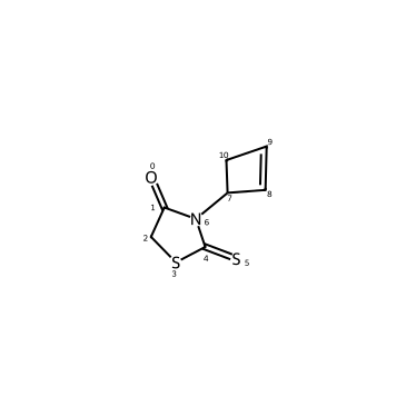 O=C1CSC(=S)N1C1C=CC1